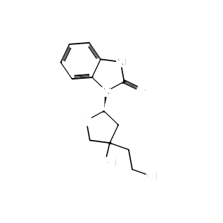 O=c1[nH]c2ccccc2n1[C@H]1CC(O)(CCO)CO1